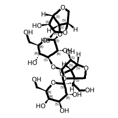 OCC[C@@]1(O[C@@H]2[C@H]3OC[C@@H]2O[C@@H](O[C@@H]2[C@@H](O)[C@H](O[C@@H]4[C@H]5OC[C@@H]4O[C@@H](O)[C@H]5O)O[C@H](CO)[C@H]2O)[C@H]3O)O[C@H](CO)[C@H](O)[C@H](O)[C@H]1O